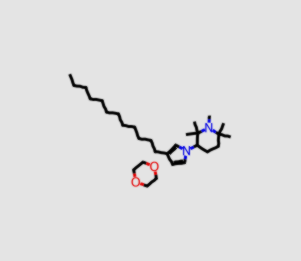 C1COCCO1.CCCCCCCCCCCCc1ccn(C2CCC(C)(C)N(C)C2(C)C)c1